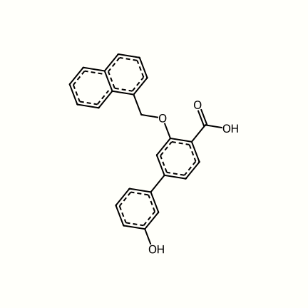 O=C(O)c1ccc(-c2cccc(O)c2)cc1OCc1cccc2ccccc12